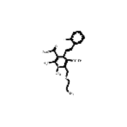 CCOC(=O)C1=C(COCCN)N(C)C(C)=C(C(=O)OC)C1/C=C/c1ccccc1Cl